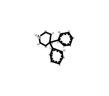 c1ccc(C2(c3ccccc3)CC[N]CC2)cc1